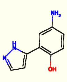 Nc1ccc(O)c(-c2ccn[nH]2)c1